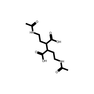 CC(=O)NCCC(C(=O)O)C(CCNC(C)=O)C(=O)O